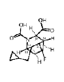 O=C(O)[C@H]1[C@@H]2CC[C@@H]([C@H](CC3CC3)[C@@H]2F)N1C(=O)O